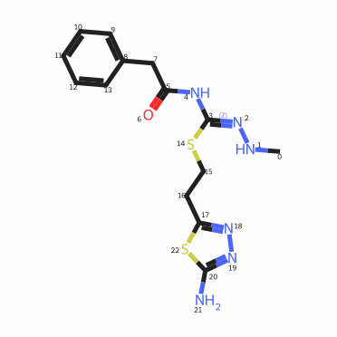 CN/N=C(/NC(=O)Cc1ccccc1)SCCc1nnc(N)s1